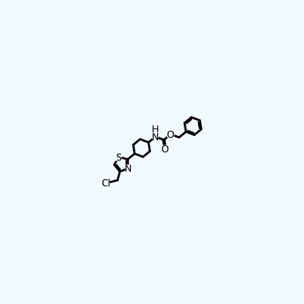 O=C(NC1CCC(c2nc(CCl)cs2)CC1)OCc1ccccc1